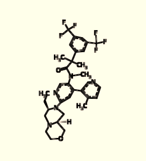 CC[C@@H]1CN2CCOC[C@@H]2CN1c1cc(-c2cnccc2C)c(N(C)C(=O)C(C)(C)c2cc(C(F)(F)F)cc(C(F)(F)F)c2)cn1